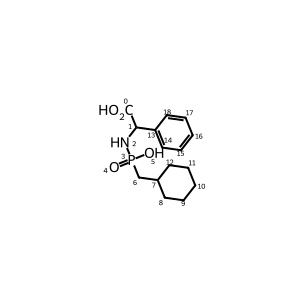 O=C(O)C(NP(=O)(O)CC1CCCCC1)c1ccccc1